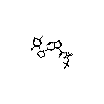 CC(C)(C)CS(=O)(=O)NC(=O)c1cnn2ccc(N3CCC[C@@H]3c3cc(F)ccc3F)cc12